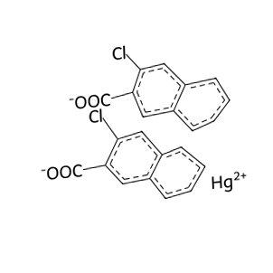 O=C([O-])c1cc2ccccc2cc1Cl.O=C([O-])c1cc2ccccc2cc1Cl.[Hg+2]